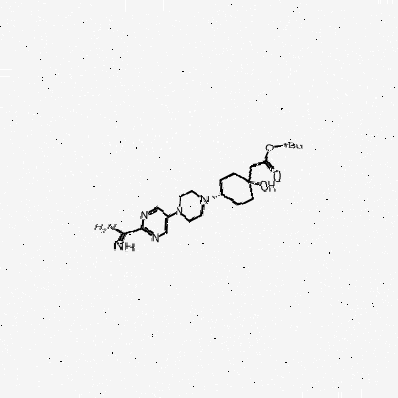 CC(C)(C)OC(=O)C[C@]1(O)CC[C@H](N2CCN(c3cnc(C(=N)N)nc3)CC2)CC1